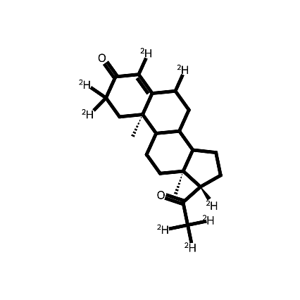 [2H]C1=C2C([2H])CC3C(CC[C@@]4(C)C3CC[C@]4([2H])C(=O)C([2H])([2H])[2H])[C@@]2(C)CC([2H])([2H])C1=O